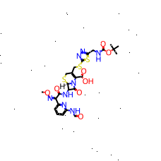 CO/N=C(\C(=O)NC1C(=O)N2C(C(=O)O)=C(CSc3nnc(CNC(=O)OC(C)(C)C)s3)CS[C@H]12)c1cccc(NC=O)n1